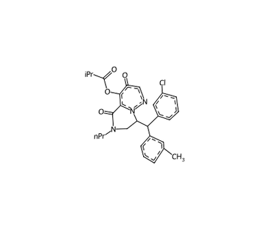 CCCN1CC(C(c2cccc(C)c2)c2cccc(Cl)c2)n2ncc(=O)c(OC(=O)C(C)C)c2C1=O